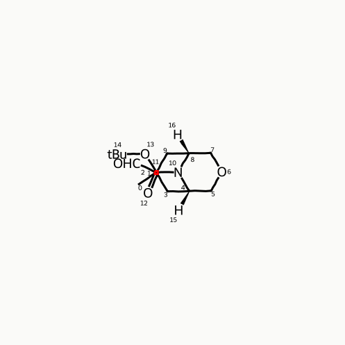 CC1(C=O)C[C@H]2COC[C@@H](C1)N2C(=O)OC(C)(C)C